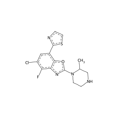 CC1CNCCN1c1nc2c(F)c(Cl)cc(-c3nccs3)c2o1